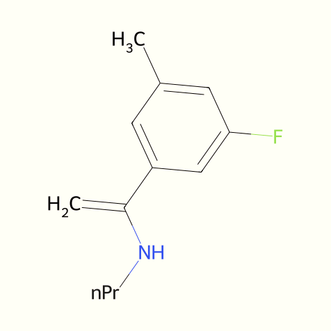 C=C(NCCC)c1cc(C)cc(F)c1